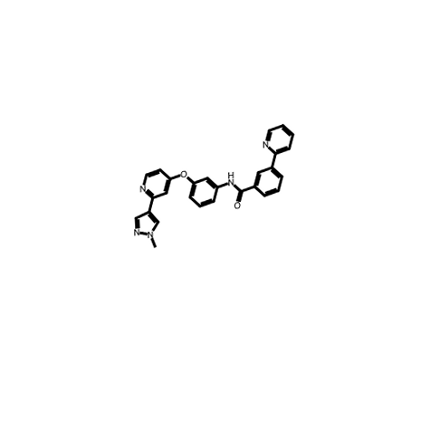 Cn1cc(-c2cc(Oc3cccc(NC(=O)c4cccc(-c5ccccn5)c4)c3)ccn2)cn1